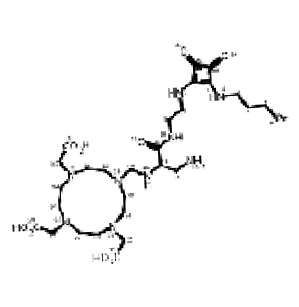 CC(C)CCCNc1c(NCCNC(=O)[C@@H](CN)NCN2CCN(CC(=O)O)CCN(CC(=O)O)CCN(CC(=O)O)CC2)c(=O)c1=O